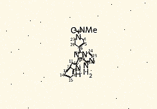 CNC(=O)N1CC=C(c2nc(-c3cc4ccccc4[nH]3)c3c(N)nccn23)CC1